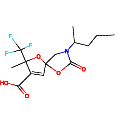 CCCC(C)N1CC2(C=C(C(=O)O)C(C)(C(F)(F)F)O2)OC1=O